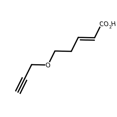 C#CCOCCC=CC(=O)O